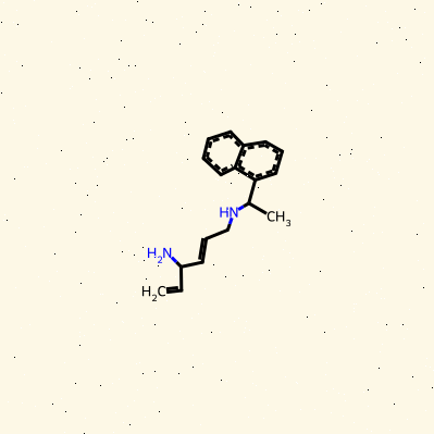 C=CC(N)C=CCNC(C)c1cccc2ccccc12